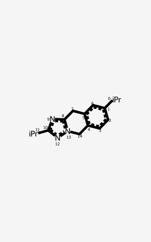 CC(C)c1ccc2c(c1)Cc1nc(C(C)C)nn1C2